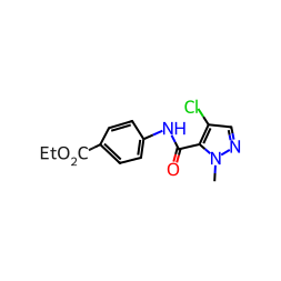 CCOC(=O)c1ccc(NC(=O)c2c(Cl)cnn2C)cc1